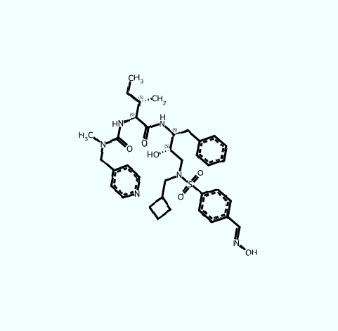 CC[C@H](C)[C@H](NC(=O)N(C)Cc1ccncc1)C(=O)N[C@@H](Cc1ccccc1)[C@@H](O)CN(CC1CCC1)S(=O)(=O)c1ccc(C=NO)cc1